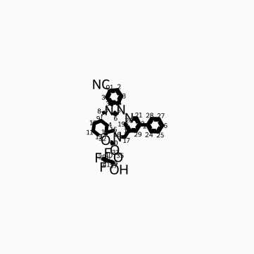 N#Cc1ccc2ncn(C[C@H]3CCC[C@]4(C3)CN(Cc3cncc(-c5ccccc5)c3)C(=O)O4)c2c1.O=C(O)C(F)(F)F